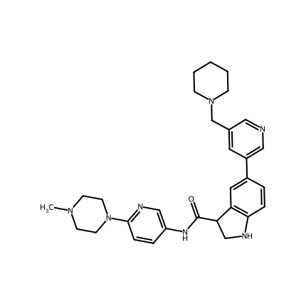 CN1CCN(c2ccc(NC(=O)C3CNc4ccc(-c5cncc(CN6CCCCC6)c5)cc43)cn2)CC1